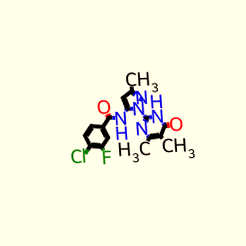 Cc1cc(NC(=O)c2ccc(Cl)c(F)c2)n(-c2nc(C)c(C)c(=O)[nH]2)n1